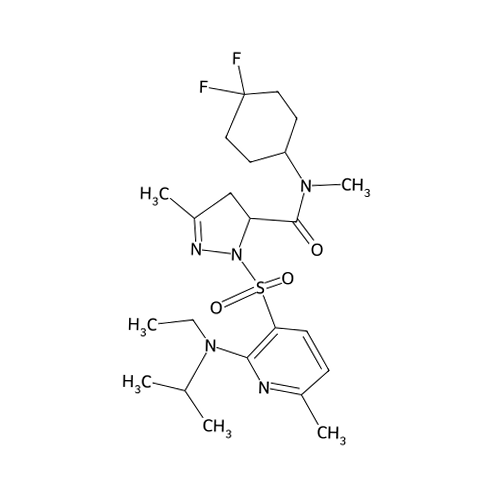 CCN(c1nc(C)ccc1S(=O)(=O)N1N=C(C)CC1C(=O)N(C)C1CCC(F)(F)CC1)C(C)C